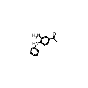 CC(=O)c1ccc(Nc2ccccc2)c(N)c1